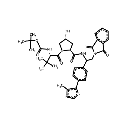 Cc1ncsc1-c1ccc(C(CN2C(=O)c3ccccc3C2=O)NC(=O)[C@@H]2C[C@@H](O)CN2C(=O)[C@@H](NC(=O)OC(C)(C)C)C(C)(C)C)cc1